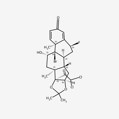 CC1(C)O[C@@H]2C[C@H]3[C@@H]4C[C@H](F)C5=CC(=O)C=C[C@]5(C)[C@@]4(Br)[C@@H](O)C[C@]3(C)[C@]2(C(=O)C(Cl)Cl)O1